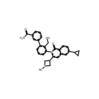 N#CN1CC(c2cc3cc(C4CC4)ccc3c(=O)n2-c2cccc(-c3cccc(C(N)=O)c3)c2CO)C1